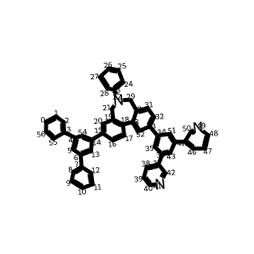 c1ccc(-c2cc(-c3ccccc3)cc(-c3ccc4c(c3)CN(c3ccccc3)Cc3ccc(-c5cc(-c6cccnc6)cc(-c6cccnc6)c5)cc3-4)c2)cc1